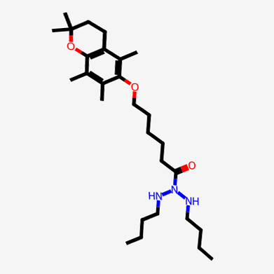 CCCCNN(NCCCC)C(=O)CCCCCOc1c(C)c(C)c2c(c1C)CCC(C)(C)O2